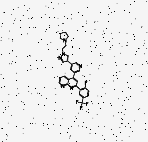 Fc1ccc(C(F)(F)F)cc1-c1cc(-c2cncc(-c3cnn(CCN4CCCC4)c3)c2)c2cccnc2n1